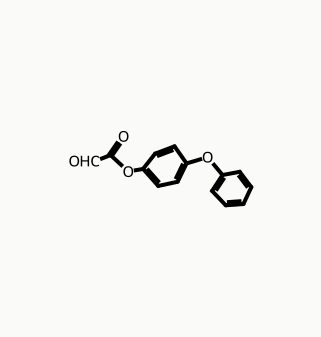 O=CC(=O)Oc1ccc(Oc2ccccc2)cc1